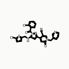 N#Cc1cn(Cc2cccnc2)c(=O)cc1-c1cc(NCc2ccc(Cl)s2)n(C(=O)c2ccccc2Cl)n1